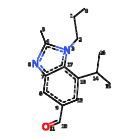 CCCn1c(C)nc2cc(C=O)cc(C(C)C)c21